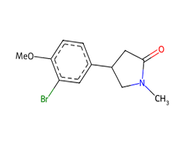 COc1ccc(C2CC(=O)N(C)C2)cc1Br